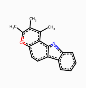 Cc1oc2ccc3c4ccccc4nc3c2c(C)c1C